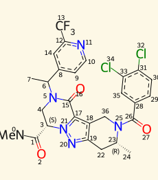 CNC(=O)[C@@H]1CN(C(C)c2ccnc(C(F)(F)F)c2)C(=O)c2c3c(nn21)C[C@@H](C)N(C(=O)c1ccc(Cl)c(Cl)c1)C3